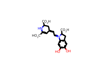 O=C(O)C1=C/C(=C\C=[N+]2\c3cc(O)c(O)cc3CC2C(=O)O)CC(C(=O)O)N1